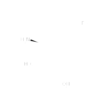 CC1[C@@H](CO)CCC(CF)C[C@@H]1N